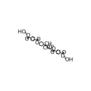 CC(C)(C1CCC(OC(=O)c2ccc(C(=O)OCCO)cc2)CC1)C1CCC(OC(=O)c2ccc(C(=O)OCCO)cc2)CC1